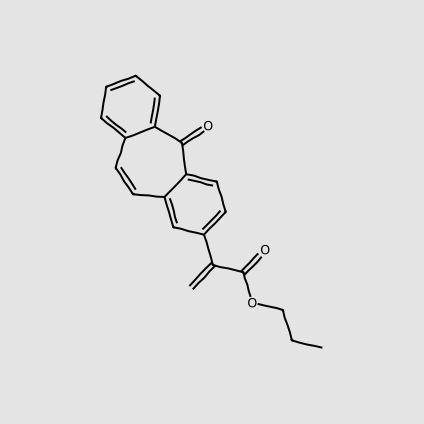 C=C(C(=O)OCCC)c1ccc2c(=O)c3ccccc3ccc2c1